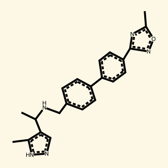 Cc1nc(-c2ccc(-c3ccc(CNC(C)c4cn[nH]c4C)cc3)cc2)no1